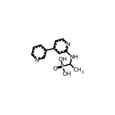 CC(Nc1cc(-c2cccnc2)ccn1)P(=O)(O)O